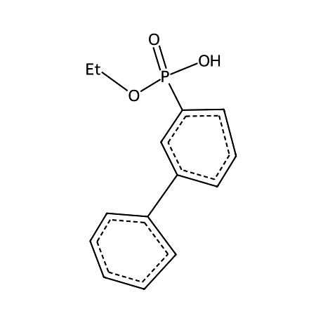 CCOP(=O)(O)c1cccc(-c2ccccc2)c1